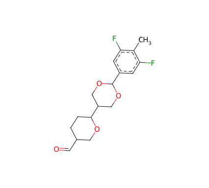 Cc1c(F)cc(C2OCC(C3CCC(C=O)CO3)CO2)cc1F